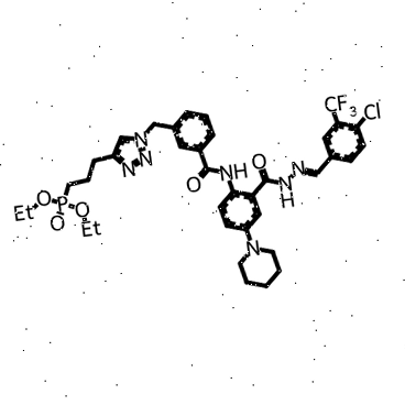 CCOP(=O)(CCCc1cn(Cc2cccc(C(=O)Nc3ccc(N4CCCCC4)cc3C(=O)NN=Cc3ccc(Cl)c(C(F)(F)F)c3)c2)nn1)OCC